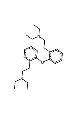 CCN(CC)CCc1ccccc1Oc1ccccc1CCN(CC)CC